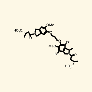 COc1cc2c(cc1OCCCOc1c(Br)c3c(c(Br)c1OC)CN(C(=O)C[C@H](C)C(=O)O)C3C)CN(C(=O)C[C@H](C)C(=O)O)C2